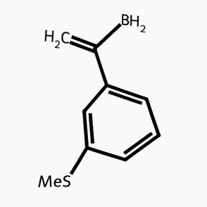 BC(=C)c1cccc(SC)c1